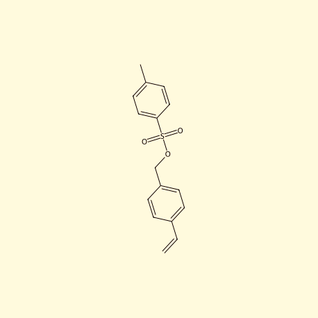 C=Cc1ccc(COS(=O)(=O)c2ccc(C)cc2)cc1